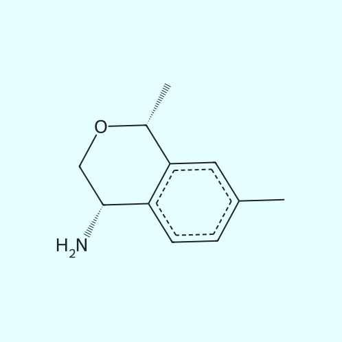 Cc1ccc2c(c1)[C@@H](C)OC[C@H]2N